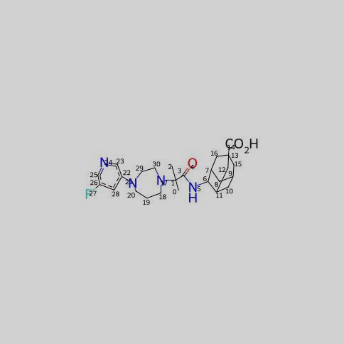 CC(C)(C(=O)NC1C2CC3CC1CC(C(=O)O)(C3)C2)N1CCCN(c2cncc(F)c2)CC1